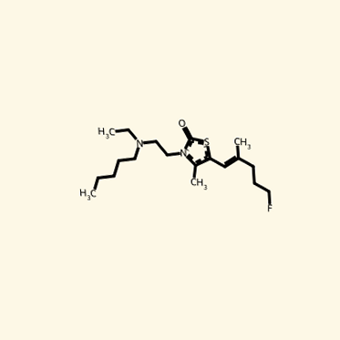 CCCCCN(CC)CCn1c(C)c(/C=C(\C)CCCF)sc1=O